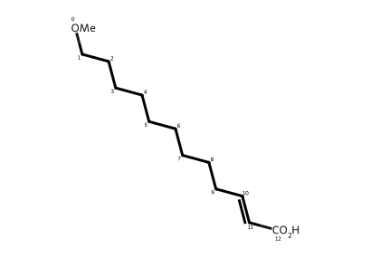 COCCCCCCCCC/C=C/C(=O)O